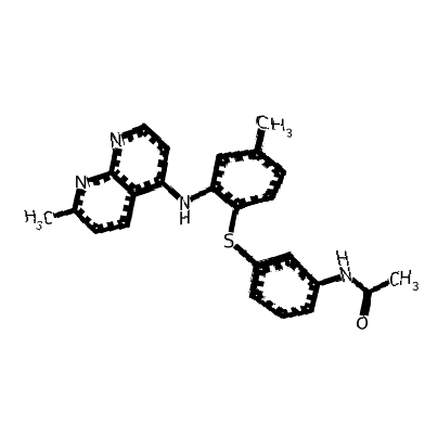 CC(=O)Nc1cccc(Sc2ccc(C)cc2Nc2ccnc3nc(C)ccc23)c1